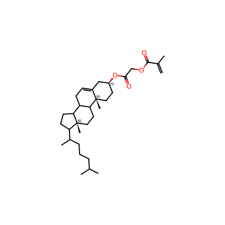 C=C(C)C(=O)OCC(=O)O[C@H]1CC[C@@]2(C)C(=CCC3C4CCC(C(C)CCCC(C)C)[C@@]4(C)CCC32)C1